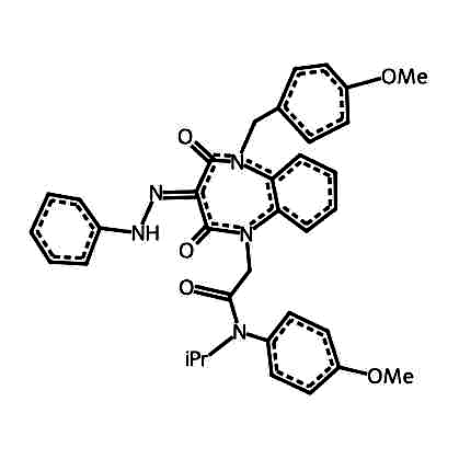 COc1ccc(Cn2c(=O)c(=NNc3ccccc3)c(=O)n(CC(=O)N(c3ccc(OC)cc3)C(C)C)c3ccccc32)cc1